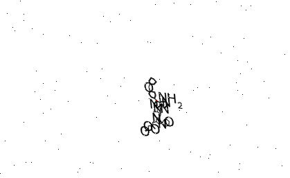 Nc1ncnc2c1c(-c1ccc(Oc3ccccc3)cc1)nn2C1CCN(C(CC(=O)OC=O)CN2CCOCC2)CC1